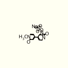 Cn1ccc(C2=CCN3CC2N(OS(=O)(=O)[O-])C3=O)cc1=O.[Na+]